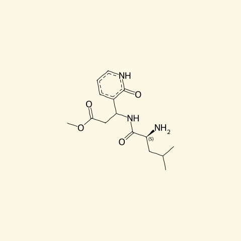 COC(=O)CC(NC(=O)[C@@H](N)CC(C)C)c1ccc[nH]c1=O